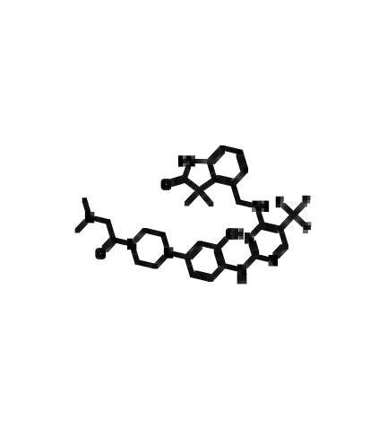 CN(C)CC(=O)N1CCN(c2ccc(Nc3ncc(C(F)(F)F)c(NCc4cccc5c4C(C)(C)C(=O)N5)n3)c(O)c2)CC1